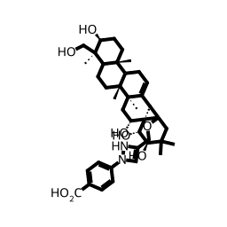 CC1(C)CC2(OCc3cn(-c4ccc(C(=O)O)cc4)[nH]3)C3C4=CCC5[C@@]6(C)CC[C@H](O)[C@](C)(CO)C6CC[C@@]5(C)[C@]4(C)C[C@@H](O)[C@@]32[C@@H](O)[C@@H]1O